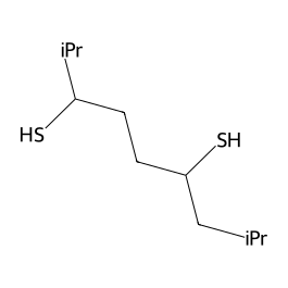 CC(C)CC(S)CCC(S)C(C)C